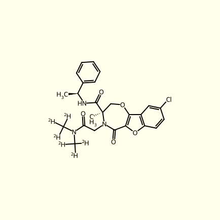 [2H]C([2H])([2H])N(C(=O)CN1C(=O)c2oc3ccc(Cl)cc3c2OC[C@]1(C)C(=O)N[C@@H](C)c1ccccc1)C([2H])([2H])[2H]